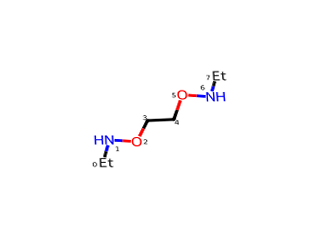 CCNOCCONCC